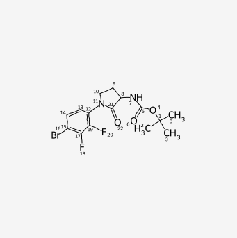 CC(C)(C)OC(=O)NC1CCN(c2ccc(Br)c(F)c2F)C1=O